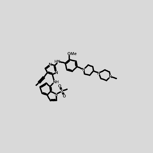 CC#Cc1cnc(Nc2ccc(N3CCC(N4CCN(C)CC4)CC3)cc2OC)nc1Nc1cccc2ccn(S(C)(=O)=O)c12